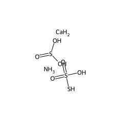 N.O=S(=O)(O)S.O=S(O)O.[CaH2]